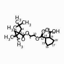 CC(C)(C)CC1(C(=O)OCCOC(=O)C2CCCCC2C(=O)O)CC1(C)C